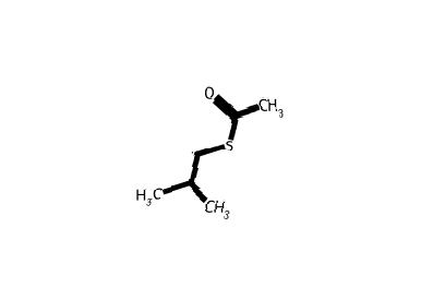 CC(=O)S[C]C(C)C